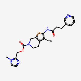 Cn1ccnc1COC(=O)N1CCc2c(sc(NC(=O)CCc3cccnc3)c2C#N)C1